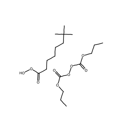 CC(C)(C)CCCCCC(=O)OO.CCCOC(=O)OOC(=O)OCCC